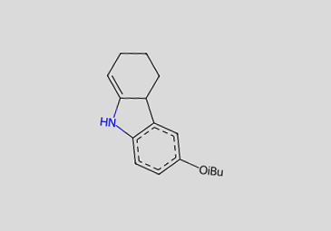 CC(C)COc1ccc2c(c1)C1CCCC=C1N2